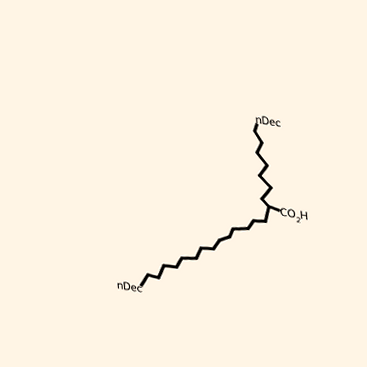 CCCCCCCCCCCCCCCCCCCCCCCCC(CCCCCCCCCCCCCCCCC)C(=O)O